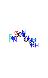 COc1cc2ncc(-c3cccc(N[C@@H]4CCNCC4(F)F)n3)n2cc1-c1cnn(C(F)F)c1